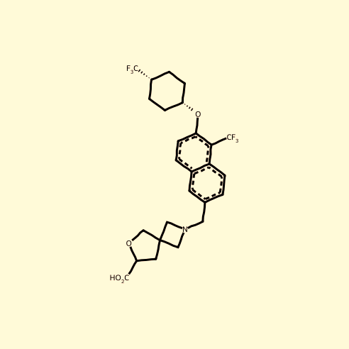 O=C(O)C1CC2(CO1)CN(Cc1ccc3c(C(F)(F)F)c(O[C@H]4CC[C@@H](C(F)(F)F)CC4)ccc3c1)C2